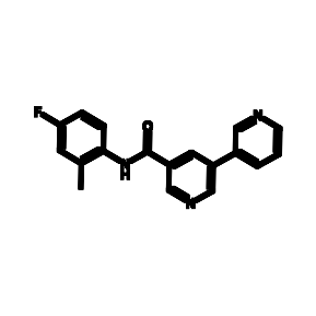 Cc1cc(F)ccc1NC(=O)c1cncc(-c2cccnc2)c1